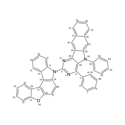 c1ccc(-c2nc(-n3c4ccccc4c4c5c(ccc43)oc3ccccc35)nc3c4cc5ccccc5cc4n(-c4ccccc4)c23)cc1